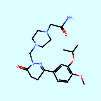 COc1ccc(C2=NN(CN3C[CH]N(CC(N)=O)CC3)C(=O)CC2)cc1OC(C)C